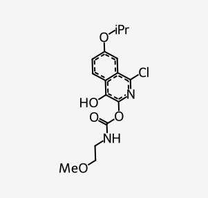 COCCNC(=O)Oc1nc(Cl)c2cc(OC(C)C)ccc2c1O